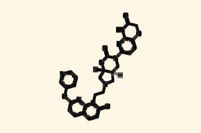 O=C1COc2ccc(N3C[C@H]4CN(CCn5c(=O)ccc6ccc(Oc7cccnc7)nc65)C[C@@H]4OC3=O)nc2N1